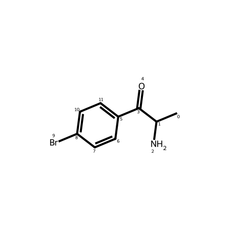 CC(N)C(=O)c1ccc(Br)cc1